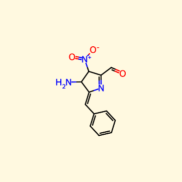 NC1C(=Cc2ccccc2)N=C(C=O)C1[N+](=O)[O-]